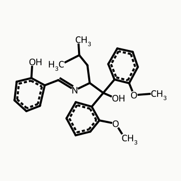 COc1ccccc1C(O)(c1ccccc1OC)C(CC(C)C)N=Cc1ccccc1O